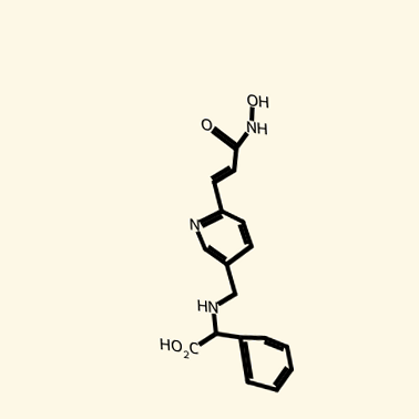 O=C(/C=C/c1ccc(CNC(C(=O)O)c2ccccc2)cn1)NO